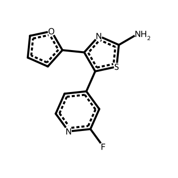 Nc1nc(-c2ccco2)c(-c2ccnc(F)c2)s1